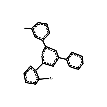 Brc1ccccc1-c1cc(-c2ccccc2)cc(-c2cccc(I)c2)n1